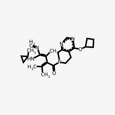 C=N/C(NC1(C)CC1)=C(\C)C(C(=O)N1CCc2c(ncnc2OC2CCC2)C1)=C(C)C